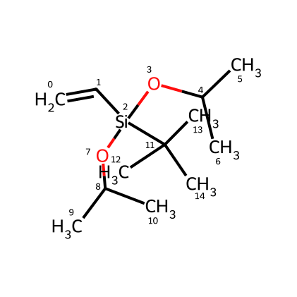 C=C[Si](OC(C)C)(OC(C)C)C(C)(C)C